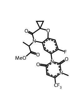 COC(=O)C(C)N1C(=O)C2(CC2)Oc2cc(F)c(-n3c(=O)cc(C(F)(F)F)n(C)c3=O)cc21